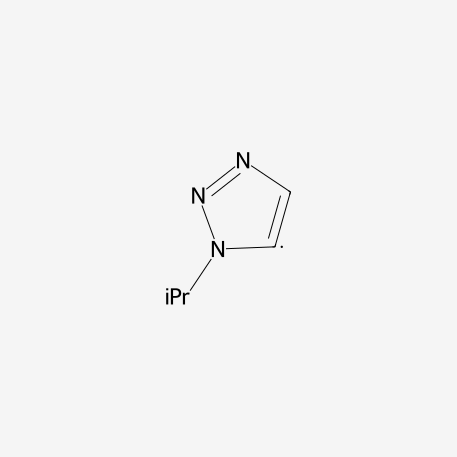 CC(C)n1[c]cnn1